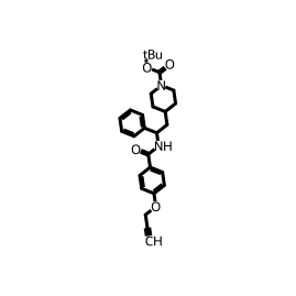 C#CCOc1ccc(C(=O)NC(CC2CCN(C(=O)OC(C)(C)C)CC2)c2ccccc2)cc1